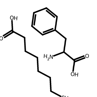 CCCCCCCC(=O)O.NC(Cc1ccccc1)C(=O)O